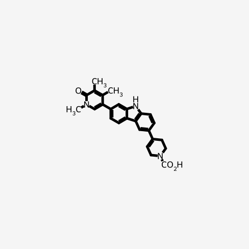 Cc1c(-c2ccc3c(c2)[nH]c2ccc(C4=CCN(C(=O)O)CC4)cc23)cn(C)c(=O)c1C